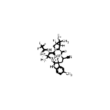 Cc1ccc2c(c1)C(F)(CC(C#N)NC(=O)[C@@H]1[C@@H]3[C@H](CN1C(=O)[C@@H](NC(=O)C(F)(F)F)C(C)(C)C)C3(C)C)C(=O)N2